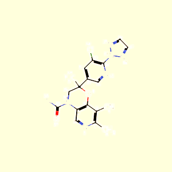 Cc1ncc2c(c1C#N)OC(c1cnc(-n3nccn3)c(Cl)c1)(C(F)(F)F)CN2C(N)=O